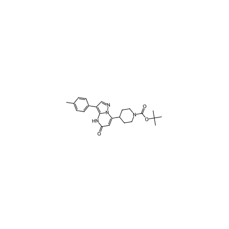 Cc1ccc(-c2cnn3c(C4CCN(C(=O)OC(C)(C)C)CC4)cc(=O)[nH]c23)cc1